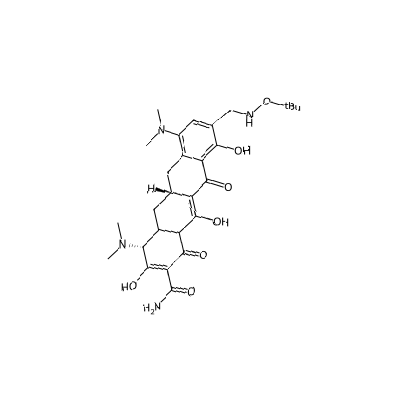 CN(C)c1cc(CNOC(C)(C)C)c(O)c2c1C[C@H]1CC3C(C(=O)C(C(N)=O)=C(O)[C@@H]3N(C)C)C(O)=C1C2=O